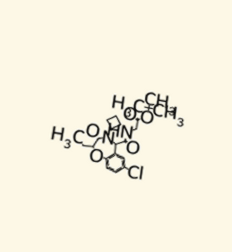 CCC1Oc2ccc(Cl)cc2C(C(=O)NCC(=O)OC(C)(C)C)N(C2CCC2)C1=O